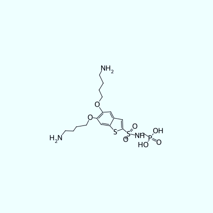 NCCCCOc1cc2cc(S(=O)(=O)NCP(=O)(O)O)sc2cc1OCCCCN